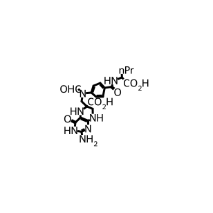 CCCC(NC(=O)c1ccc(N(C=O)CC2(C(=O)O)CNc3nc(N)[nH]c(=O)c3N2)cc1)C(=O)O